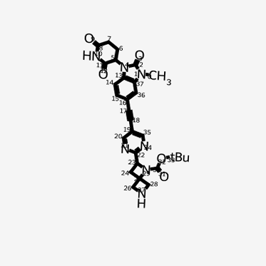 Cn1c(=O)n(C2CCC(=O)NC2=O)c2ccc(C#Cc3cnc(C4CC5(CNC5)N4C(=O)OC(C)(C)C)nc3)cc21